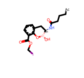 CC(=O)CCCC(=O)N[C@H]1Cc2cccc(C(=O)OCI)c2OB1O